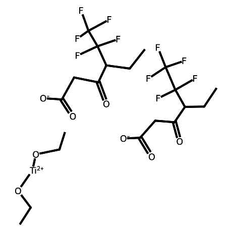 CCC(C(=O)CC(=O)[O-])C(F)(F)C(F)(F)F.CCC(C(=O)CC(=O)[O-])C(F)(F)C(F)(F)F.CC[O][Ti+2][O]CC